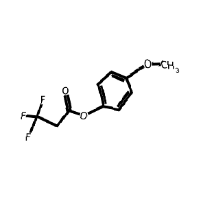 COc1ccc(OC(=O)CC(F)(F)F)cc1